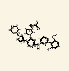 COc1cccc(F)c1-c1nccc(Nc2cc(N3CC[C@@H](NC(C)=O)C3)c(-c3cnn(C4CCOCC4)c3)cn2)n1